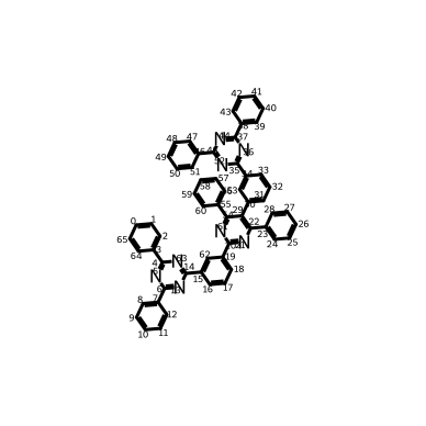 c1ccc(-c2nc(-c3ccccc3)nc(-c3cccc(-c4nc(-c5ccccc5)c(-c5cccc(-c6nc(-c7ccccc7)nc(-c7ccccc7)n6)c5)c(-c5ccccc5)n4)c3)n2)cc1